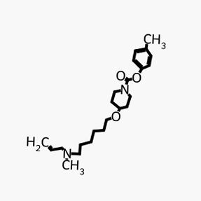 C=CCN(C)CCCCCCOC1CCN(C(=O)Oc2ccc(C)cc2)CC1